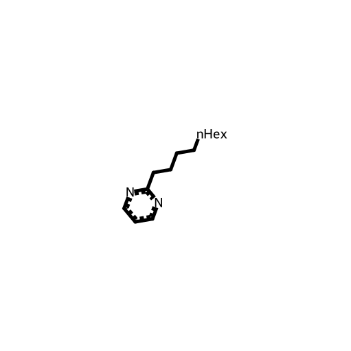 CCCCCCCCCCc1ncccn1